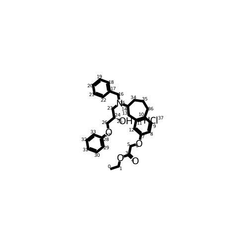 CCOC(=O)COc1ccc2c(c1)CC(N(Cc1ccccc1)C[C@H](O)COc1ccccc1)CCC2.Cl